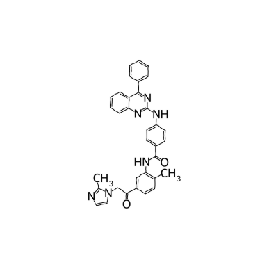 Cc1ccc(C(=O)Cn2ccnc2C)cc1NC(=O)c1ccc(Nc2nc(-c3ccccc3)c3ccccc3n2)cc1